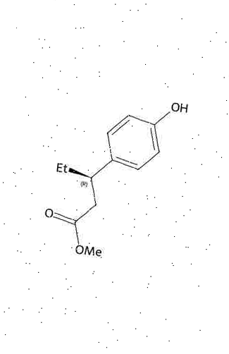 CC[C@H](CC(=O)OC)c1ccc(O)cc1